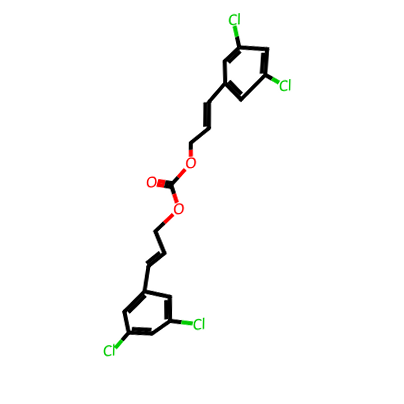 O=C(OCC=Cc1cc(Cl)cc(Cl)c1)OCC=Cc1cc(Cl)cc(Cl)c1